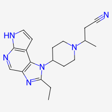 CCc1nc2cnc3[nH]ccc3c2n1C1CCN(C(C)CC#N)CC1